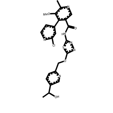 COc1c(C)ncc(C(=O)Nc2nnc(OCc3ccc(C(C)O)cn3)s2)c1-c1ccnc(Cl)c1